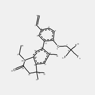 C=Cc1ccc(OCC(F)(F)F)c(-c2cc3c(cc2C)C(C)(C)CC(=O)N3CC)c1